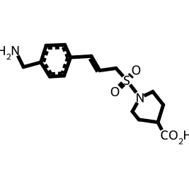 NCc1ccc(C=CCS(=O)(=O)N2CCC(C(=O)O)CC2)cc1